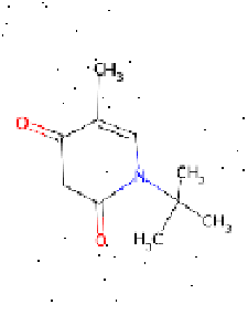 CC1=CN(C(C)(C)C)C(=O)CC1=O